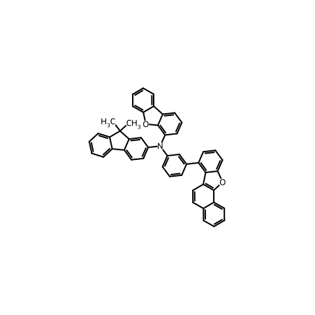 CC1(C)c2ccccc2-c2ccc(N(c3cccc(-c4cccc5oc6c7ccccc7ccc6c45)c3)c3cccc4c3oc3ccccc34)cc21